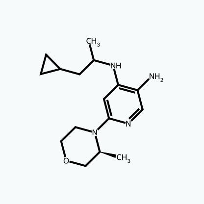 CC(CC1CC1)Nc1cc(N2CCOC[C@@H]2C)ncc1N